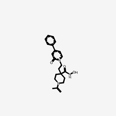 C=C(C)N1CCC(CCn2ccc(-c3ccccc3)cc2=O)(C(=O)NO)CC1